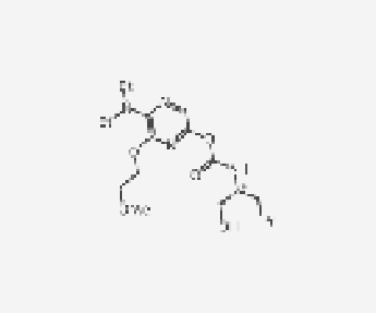 CCN(CC)c1ncc(OC(=O)N[C@H](CO)CC(C)C)nc1OCCOC